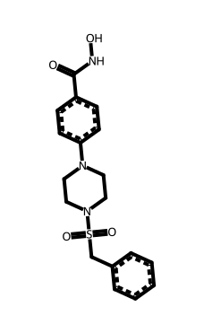 O=C(NO)c1ccc(N2CCN(S(=O)(=O)Cc3ccccc3)CC2)cc1